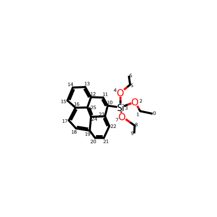 CCO[Si](OCC)(OCC)c1cc2cccc3ccc4cccc1c4c32